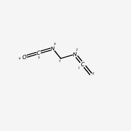 C=C=NCN=C=O